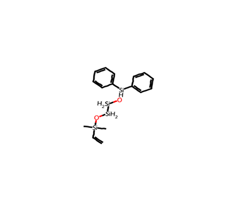 C=C[Si](C)(C)O[SiH2][SiH2]O[SiH](c1ccccc1)c1ccccc1